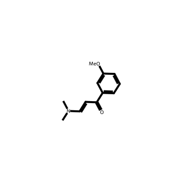 COc1cccc(C(=O)C=CN(C)C)c1